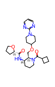 O=C(N[C@@H]1CCCN(C(=O)C2CCC2)[C@@H]1COC1CCN(c2ncccn2)CC1)[C@@H]1CCCO1